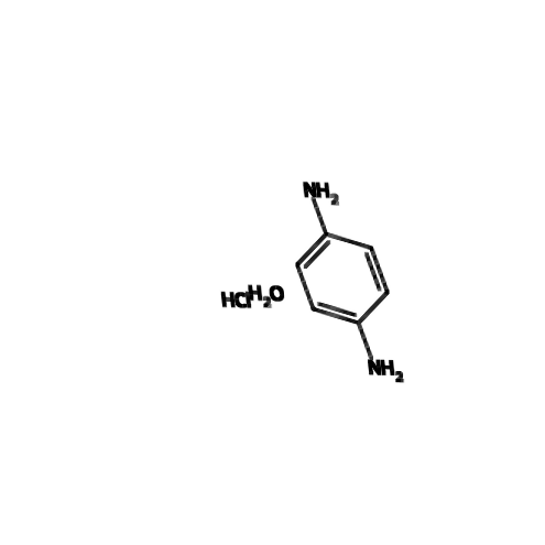 Cl.Nc1ccc(N)cc1.O